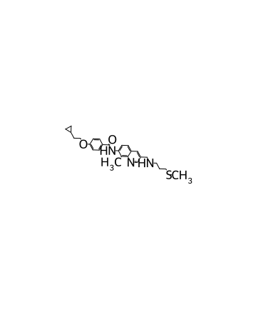 CSCCCNCc1cnc2c(C)c(NC(=O)c3ccc(OCCC4CC4)cc3)ccc2c1